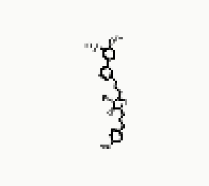 CCOc1ccc(-c2cccc(CCCC3=NC(CCCc4ccc(C(C)(C)C)cc4)C(=O)N3CC)c2)cc1C(=O)O